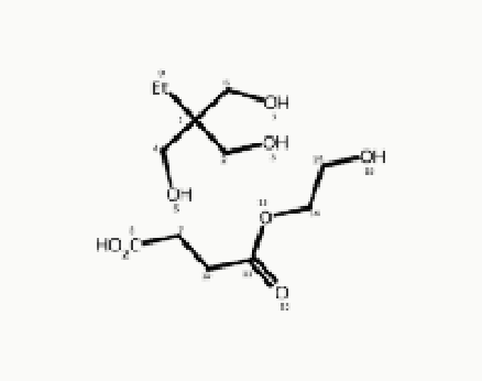 CCC(CO)(CO)CO.O=C(O)CCC(=O)OCCO